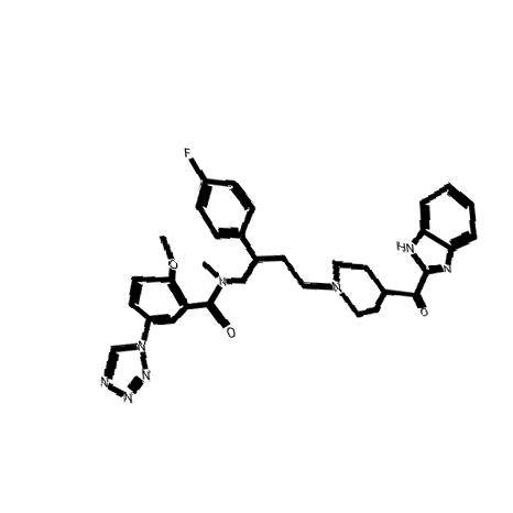 COc1ccc(-n2cnnn2)cc1C(=O)N(C)CC(CCN1CCC(C(=O)c2nc3ccccc3[nH]2)CC1)c1ccc(F)cc1